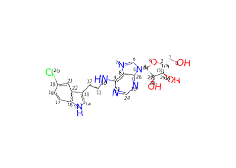 OC[C@H]1O[C@@H](n2cnc3c(NCCc4c[nH]c5ccc(Cl)cc45)ncnc32)[C@H](O)[C@@H]1O